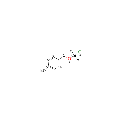 CCc1ccc(CO[Si](C)(C)Cl)cc1